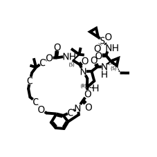 CC[C@H]1C[C@@]1(NC(=O)C1C[C@@H]2CN1C(=O)[C@H](C(C)(C)C)NC(=O)OCC(C)(C)CCCCCOCc1cccc3c1CN(C3)C(=O)O2)C(=O)NS(=O)(=O)C1CC1